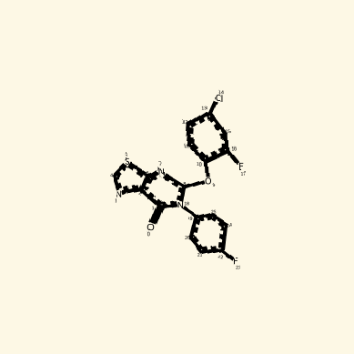 O=c1c2ncsc2nc(Oc2ccc(Cl)cc2F)n1-c1ccc(F)cc1